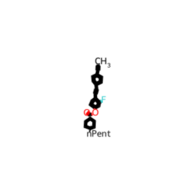 CC#Cc1ccc(C#Cc2ccc(OC(=O)[C@H]3CC[C@H](CCCCC)CC3)cc2F)cc1